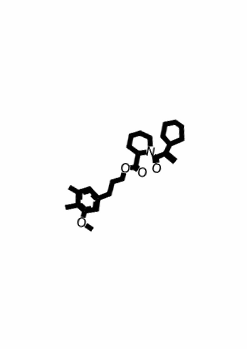 C=C(C(=O)N1CCCCC1C(=O)OCCCc1cc(C)c(C)c(OC)c1)C1CCCCC1